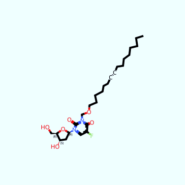 CCCCCCCCCCCCCCCCOCn1c(=O)c(F)cn([C@H]2C[C@H](O)[C@@H](CO)O2)c1=O